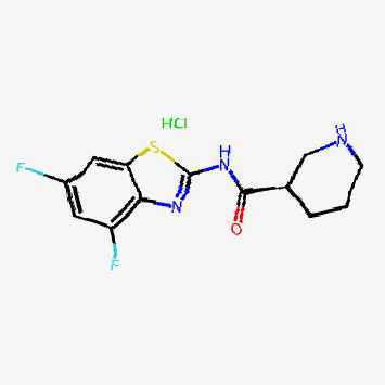 Cl.O=C(Nc1nc2c(F)cc(F)cc2s1)[C@@H]1CCCNC1